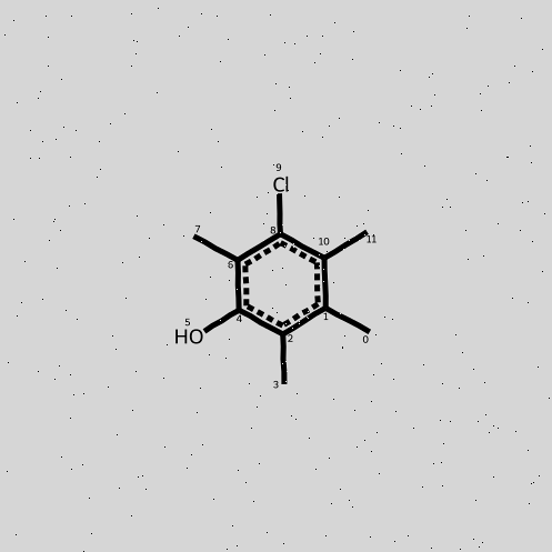 Cc1c(C)c(O)c(C)c(Cl)c1C